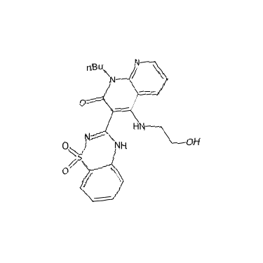 CCCCn1c(=O)c(C2=NS(=O)(=O)c3ccccc3N2)c(NCCO)c2cccnc21